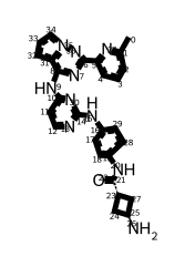 Cc1cccc(-c2nc(Nc3ccnc(Nc4ccc(NC(=O)[C@H]5C[C@@H](N)C5)cc4)n3)c3cccn3n2)n1